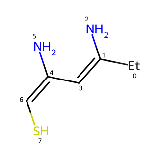 CC/C(N)=C/C(N)=C\S